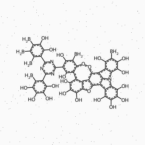 Bc1c(B)c(O)c(O)c(-c2nc(-c3c(B)c(O)c(O)c(O)c3O)nc(-c3c(O)c(B)c4ooc5c6c(oc7c(O)c(O)c(O)c(c4c3O)c76)c3c4c(O)c(O)c(O)c(O)c4n4c6c(O)c(O)c(B)c(O)c6c5c34)n2)c1B